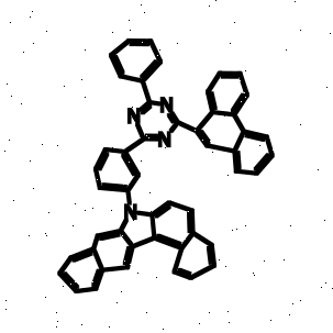 c1ccc(-c2nc(-c3cccc(-n4c5cc6ccccc6cc5c5c6ccccc6ccc54)c3)nc(-c3cc4ccccc4c4ccccc34)n2)cc1